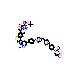 Cc1cc(-c2n[nH]c3ncc(-c4ccc(N5CCN(CC6CCN(c7ccc(N8CCC(=O)NC8=O)cc7)CC6)CC5)cc4)cc23)c(F)cc1C(C)NC(=O)c1noc(C(C)(C)C)n1